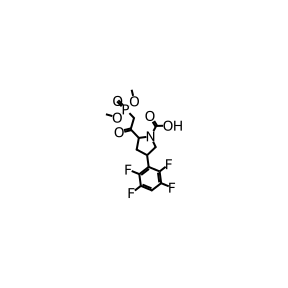 COP(=O)(CC(=O)C1CC(c2c(F)c(F)cc(F)c2F)CN1C(=O)O)OC